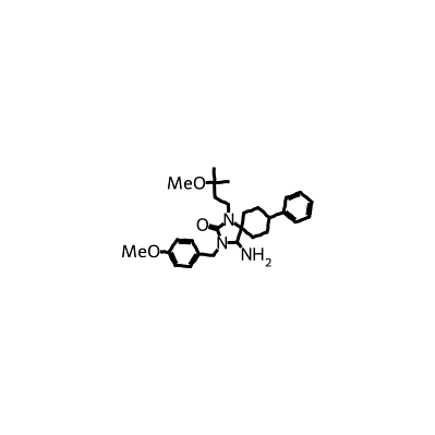 COc1ccc(CN2C(=O)N(CCC(C)(C)OC)C3(CCC(c4ccccc4)CC3)C2N)cc1